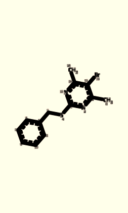 Cc1nc(SCc2ccccc2)nc(C)c1Br